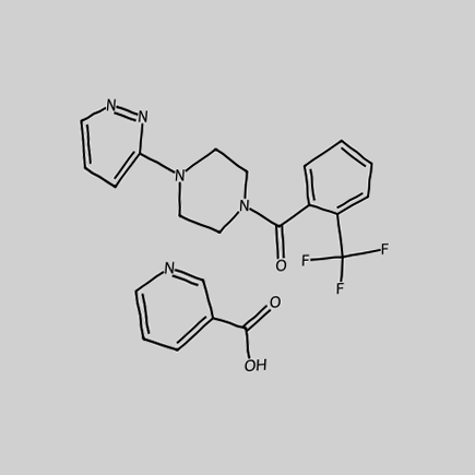 O=C(O)c1cccnc1.O=C(c1ccccc1C(F)(F)F)N1CCN(c2cccnn2)CC1